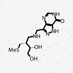 CSC[C@H](CNCc1n[nH]c2c(=O)[nH]cnc12)[C@H](O)CO